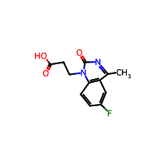 Cc1nc(=O)n(CCC(=O)O)c2ccc(F)cc12